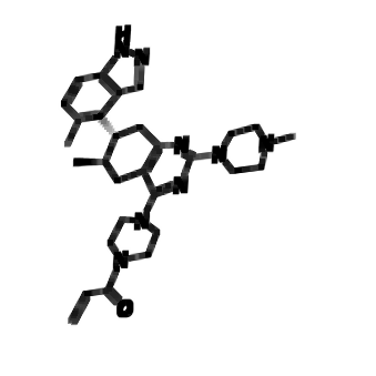 C=CC(=O)N1CCN(c2nc(N3CCN(C)CC3)nc3c2C[C@@H](C)[C@H](c2c(C)ccc4[nH]ncc24)C3)CC1